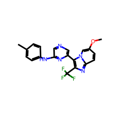 COc1ccc2nc(C(F)(F)F)c(-c3cncc(Nc4ccc(C)cc4)n3)n2c1